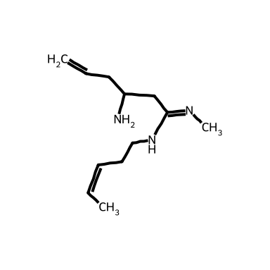 C=CCC(N)C/C(=N/C)NCC/C=C\C